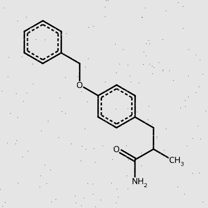 CC(Cc1ccc(OCc2ccccc2)cc1)C(N)=O